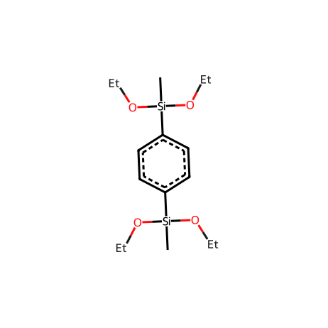 CCO[Si](C)(OCC)c1ccc([Si](C)(OCC)OCC)cc1